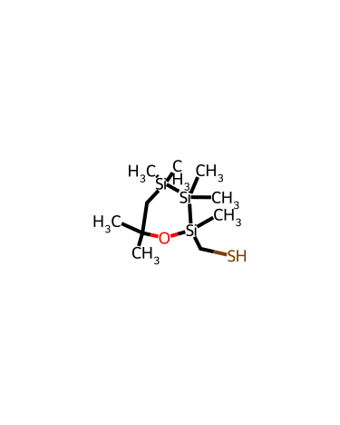 CC1(C)C[Si](C)(C)[Si](C)(C)[Si](C)(CS)O1